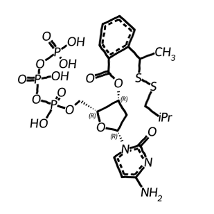 CC(C)CSSC(C)c1ccccc1C(=O)O[C@@H]1C[C@H](n2ccc(N)nc2=O)O[C@@H]1COP(=O)(O)OP(=O)(O)OP(=O)(O)O